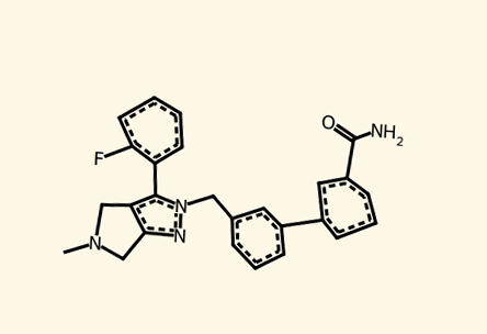 CN1Cc2nn(Cc3cccc(-c4cccc(C(N)=O)c4)c3)c(-c3ccccc3F)c2C1